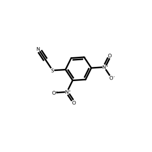 N#CSc1c[c]c([N+](=O)[O-])cc1[N+](=O)[O-]